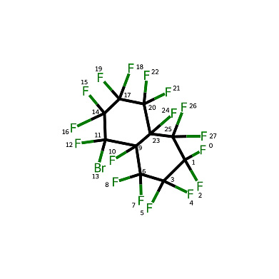 FC1(F)C(F)(F)C(F)(F)C2(F)C(F)(Br)C(F)(F)C(F)(F)C(F)(F)C2(F)C1(F)F